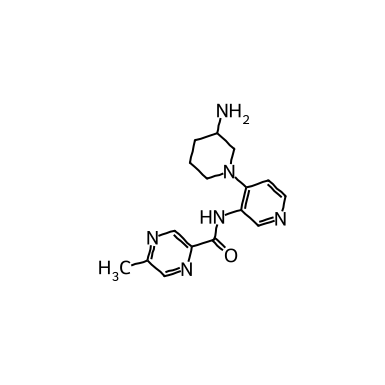 Cc1cnc(C(=O)Nc2cnccc2N2CCCC(N)C2)cn1